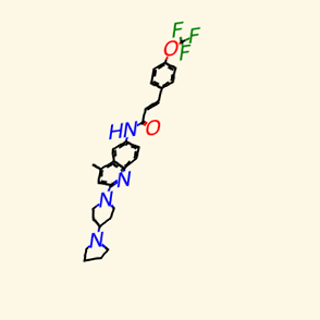 Cc1cc(N2CCC(N3CCCC3)CC2)nc2ccc(NC(=O)/C=C/c3ccc(OC(F)(F)F)cc3)cc12